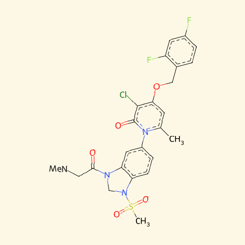 CNCC(=O)N1CN(S(C)(=O)=O)c2ccc(-n3c(C)cc(OCc4ccc(F)cc4F)c(Cl)c3=O)cc21